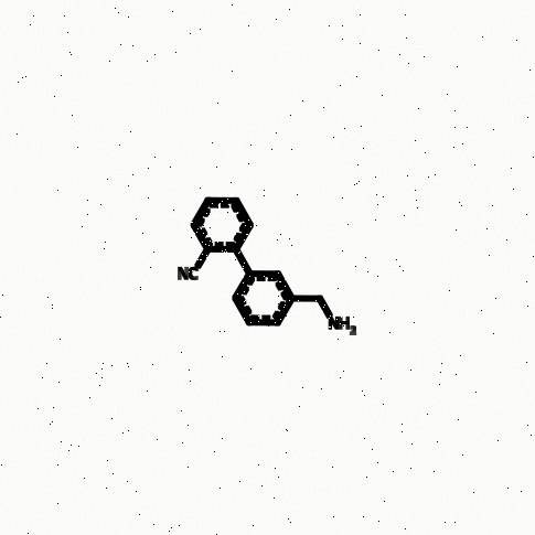 N#Cc1ccccc1-c1cccc(CN)c1